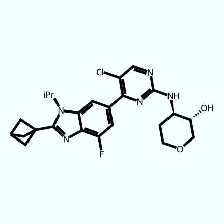 CC(C)n1c(C23CC(C2)C3)nc2c(F)cc(-c3nc(N[C@@H]4CCOC[C@H]4O)ncc3Cl)cc21